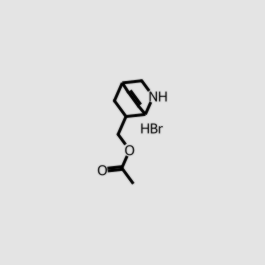 Br.CC(=O)OCC1CC2C=CC1NC2